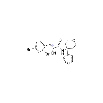 N#C/C(=C\c1ncc(Br)cc1Br)C(=O)NC1(c2ccccc2)CCOCC1